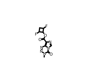 Cn1nnc2c(C(=O)OC3C(F)CC3F)ncn2c1=O